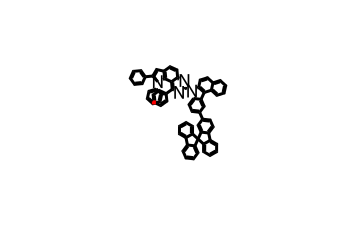 c1ccc(-c2nc(-n3c4ccc(-c5ccc6c(c5)C5(c7ccccc7-c7ccccc75)c5ccccc5-6)cc4c4c5ccccc5ccc43)nc3ccc4cc(-c5ccccc5)n(-c5ccccc5)c4c23)cc1